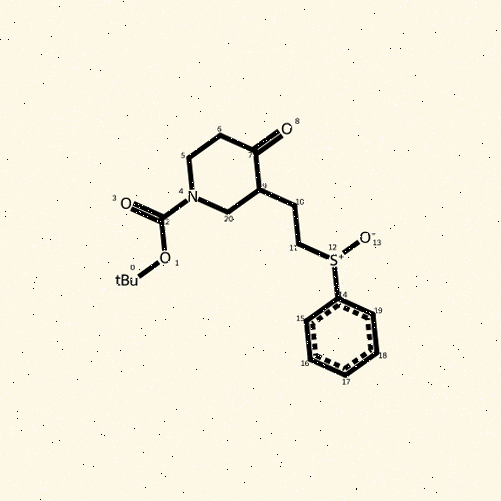 CC(C)(C)OC(=O)N1CCC(=O)C(CC[S+]([O-])c2ccccc2)C1